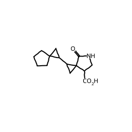 O=C(O)C1CNC(=O)C12CC2C1CC12CCCC2